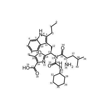 CCCc1[nH]c2ccccc2c1C[C@H](c1nc(C(=O)O)c(C)o1)N(C(=O)NC1CCCCC1)C(=O)[C@@H](N)CC(C)C